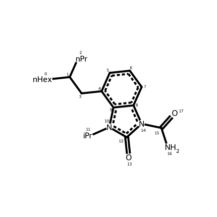 CCCCCCC(CCC)Cc1cccc2c1n(C(C)C)c(=O)n2C(N)=O